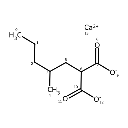 CCCC(C)CC(C(=O)[O-])C(=O)[O-].[Ca+2]